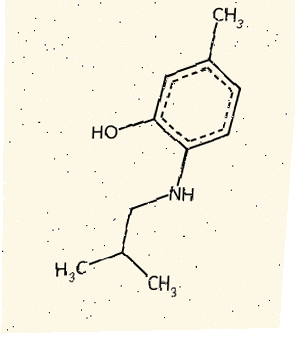 Cc1ccc(NCC(C)C)c(O)c1